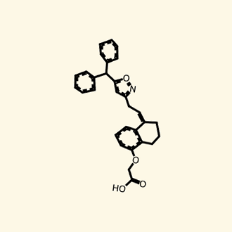 O=C(O)COc1cccc2c1CCC/C2=C/Cc1cc(C(c2ccccc2)c2ccccc2)on1